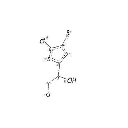 OC(CCl)c1cc(Br)c(Cl)s1